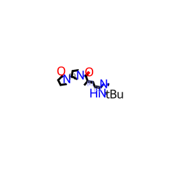 C=N/C(=C\C=C(/C)C(=O)N1CC[C@H](N2CCCC2=O)C1)NC(C)(C)C